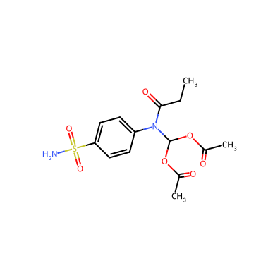 CCC(=O)N(c1ccc(S(N)(=O)=O)cc1)C(OC(C)=O)OC(C)=O